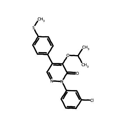 CSc1ccc(-c2cnn(-c3cccc(Cl)c3)c(=O)c2OC(C)C)cc1